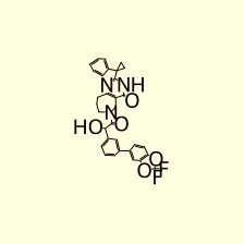 O=C(C(O)c1cccc(-c2ccc3c(c2)OC(F)(F)O3)c1)N1CCCc2nc(C3(c4ccccc4)CC3)[nH]c(=O)c2C1